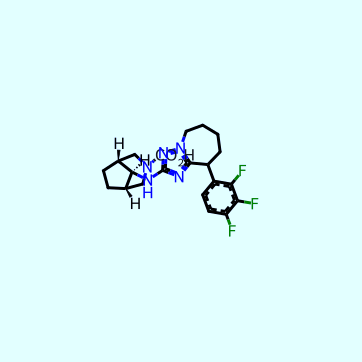 O=C(O)N1C[C@H]2CC[C@@H](C1)[C@@H]2Nc1nc2n(n1)CCCCC2c1ccc(F)c(F)c1F